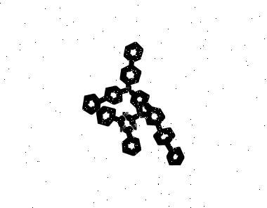 c1ccc(-c2ccc(-c3ccc4c5ccc(N(c6ccc(-c7ccccc7)cc6)c6ccc(-c7ccccc7)cc6)cc5n(-c5nc(-c6ccccc6)nc(-c6ccccc6)n5)c4c3)cc2)cc1